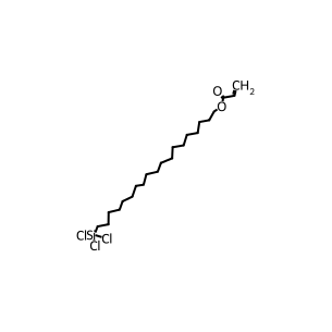 C=CC(=O)OCCCCCCCCCCCCCCCCCCC[Si](Cl)(Cl)Cl